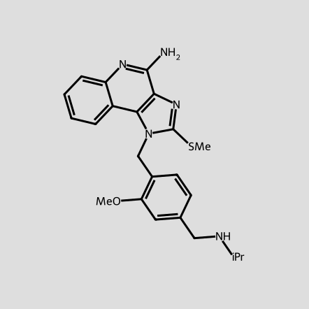 COc1cc(CNC(C)C)ccc1Cn1c(SC)nc2c(N)nc3ccccc3c21